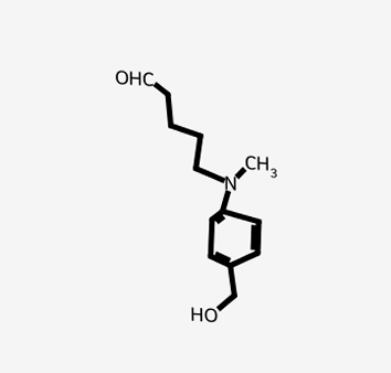 CN(CCCCC=O)c1ccc(CO)cc1